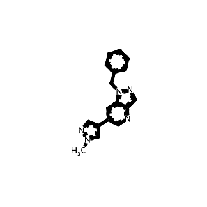 Cn1cc(-c2cnc3cnn(Cc4ccccc4)c3c2)cn1